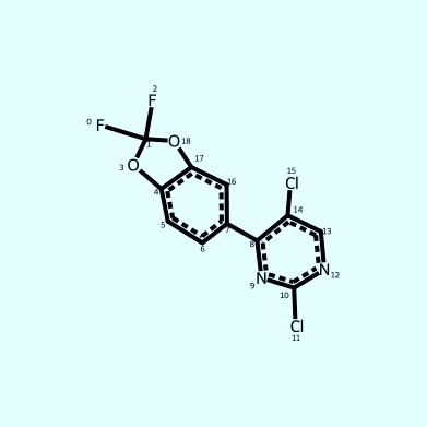 FC1(F)Oc2ccc(-c3nc(Cl)ncc3Cl)cc2O1